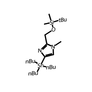 CCC[CH2][Sn]([CH2]CCC)([CH2]CCC)[c]1cn(C)c(CO[Si](C)(C)C(C)(C)C)n1